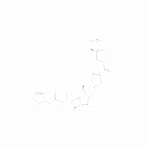 CC(NC(=O)Cn1cnnn1)[C@H]1C(=O)N2C(C(=O)O)=C(S[C@@H]3CN[C@H](C(=O)N4CC5C[C@H]6C[C@@]5(CN6)C4)C3)[C@H](C)[C@H]12